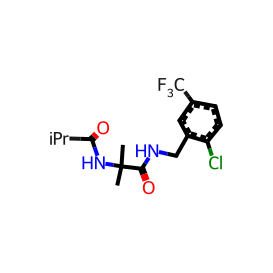 CC(C)C(=O)NC(C)(C)C(=O)NCc1cc(C(F)(F)F)ccc1Cl